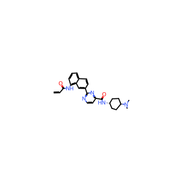 C=CC(=O)Nc1cccc2ccc(-c3nccc(C(=O)N[C@H]4CC[C@H](N(C)C)CC4)n3)cc12